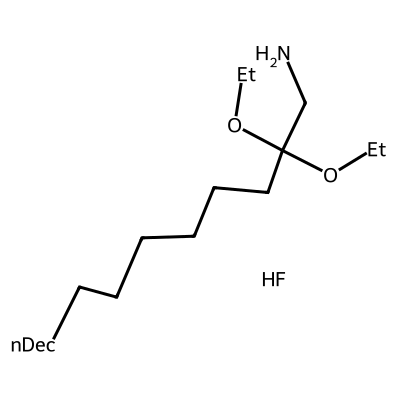 CCCCCCCCCCCCCCCCC(CN)(OCC)OCC.F